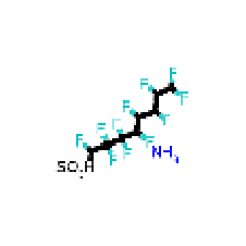 N.O=S(=O)(O)C(F)C(F)(F)C(F)(F)C(F)C(F)C(F)C(F)C(F)F